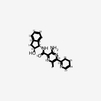 Cc1nc(C(=O)N[C@H]2c3ccccc3C[C@@H]2O)c(N)nc1C1=NC=CCC1